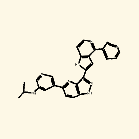 CC(C)Nc1cncc(-c2ccc3[nH]nc(-c4cc5c(-c6cccnc6)nccc5[nH]4)c3n2)c1